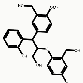 COc1ccc(C(c2ccccc2O)C(CO)Oc2ccc(C(C)=O)cc2CO)cc1CO